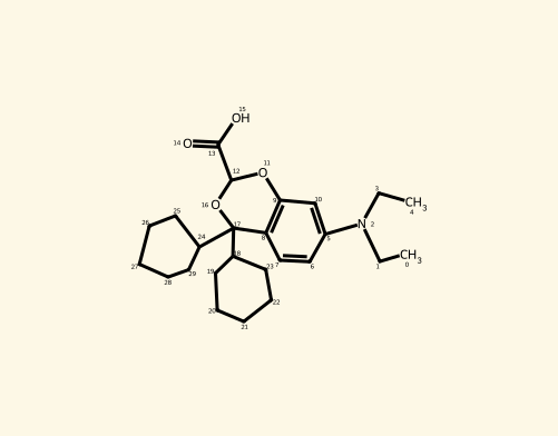 CCN(CC)c1ccc2c(c1)OC(C(=O)O)OC2(C1CCCCC1)C1CCCCC1